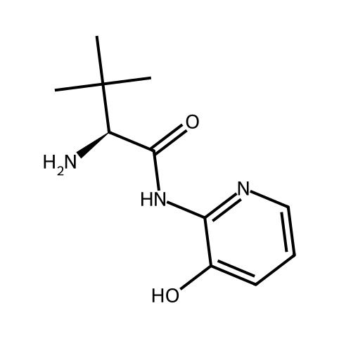 CC(C)(C)[C@H](N)C(=O)Nc1ncccc1O